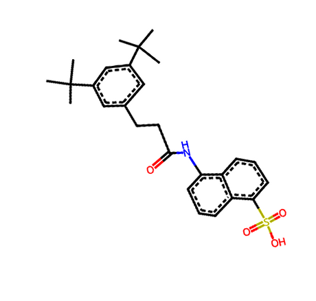 CC(C)(C)c1cc(CCC(=O)Nc2cccc3c(S(=O)(=O)O)cccc23)cc(C(C)(C)C)c1